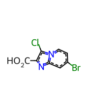 O=C(O)c1nc2cc(Br)ccn2c1Cl